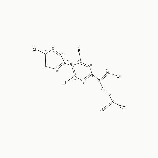 O=C(O)CCC(=NO)c1cc(F)c(-c2ccc(Cl)cc2)c(F)c1